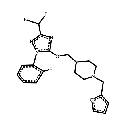 Fc1ccccc1-n1nc(C(F)F)nc1OCC1CCN(Cc2ccco2)CC1